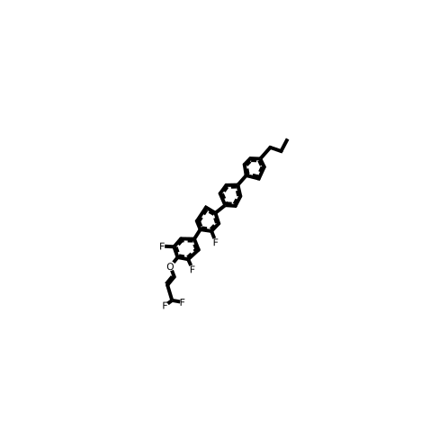 CCCc1ccc(-c2ccc(-c3ccc(-c4cc(F)c(O/C=C/C(F)F)c(F)c4)c(F)c3)cc2)cc1